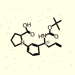 C=CC[C@H](NC(=O)OC(C)(C)C)c1cccc(N2CCCC2C(=O)O)c1